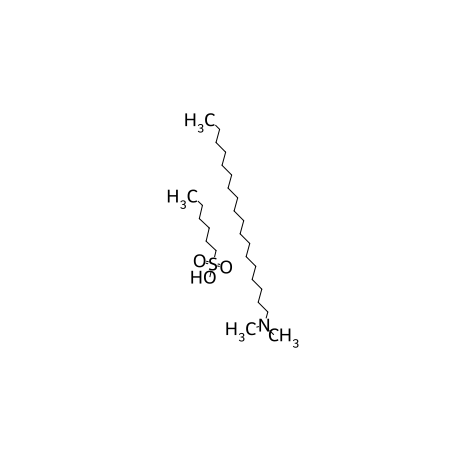 CCCCCCCCCCCCCCCCCCN(C)C.CCCCCCS(=O)(=O)O